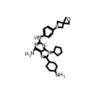 Nc1nc(Nc2ccc(N3CC4(COC4)C3)cc2)nc2c1nc(C1CCC(N)CC1)n2C1CCCC1